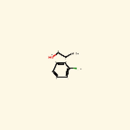 CCCCCCCCO.Clc1ccccc1